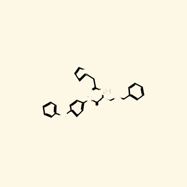 O=C(Cc1cccs1)N[C@@H](COCc1ccccc1)C(=O)Nc1ccc(Oc2ccccc2)cc1